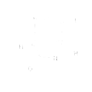 C[C@@H]1C[C@H](I)[C@@H]2C[C@H]1C(=O)N2C